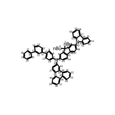 CCCCC1(CCCC)c2cc(N(c3ccc(-c4cccc(-c5ccccc5)c4)cc3)c3cccc(-c4ccccc4-c4ccccc4)c3)ccc2-c2ccc(-n3c4ccccc4c4ccccc43)cc21